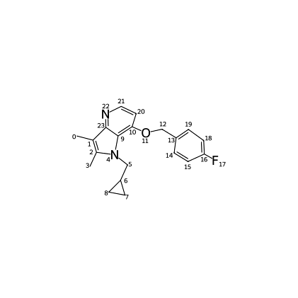 Cc1c(C)n(CC2CC2)c2c(OCc3ccc(F)cc3)ccnc12